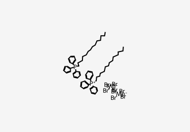 CCCCCCCCCCCCCC[P+](c1ccccc1)(c1ccccc1)c1ccccc1.CCCCCCCCCCCCCC[P+](c1ccccc1)(c1ccccc1)c1ccccc1.[Br][Mn-]([Br])([Br])[Br].[Br][Mn-]([Br])([Br])[Br]